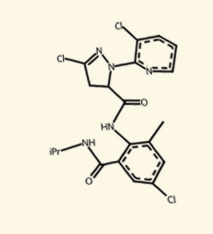 Cc1cc(Cl)cc(C(=O)NC(C)C)c1NC(=O)C1CC(Cl)=NN1c1ncccc1Cl